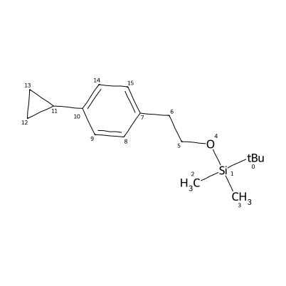 CC(C)(C)[Si](C)(C)OCCc1ccc(C2CC2)cc1